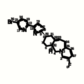 FC1=CN2C[C@H]3CC[C@H](c4nc(-c5ccc(Br)cn5)cs4)CC3=CC=C2C=C1